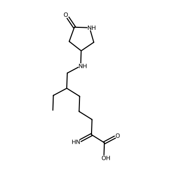 CCC(CCCC(=N)C(=O)O)CNC1CNC(=O)C1